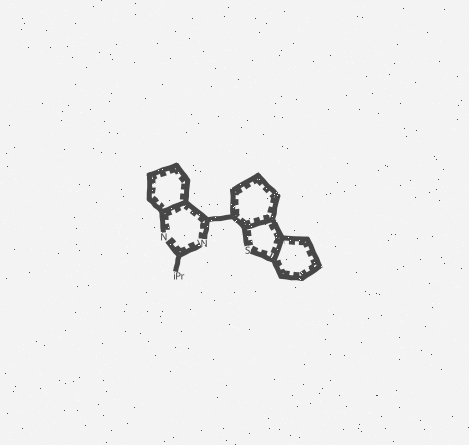 CC(C)c1nc(-c2cccc3c2sc2ccccc23)c2ccccc2n1